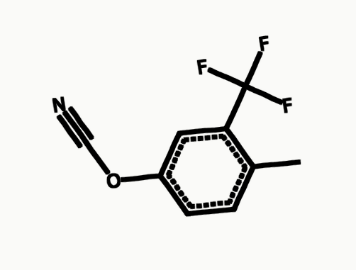 Cc1ccc(OC#N)cc1C(F)(F)F